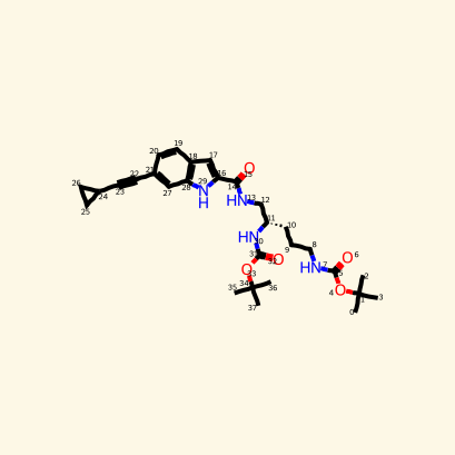 CC(C)(C)OC(=O)NCCC[C@@H](CNC(=O)c1cc2ccc(C#CC3CC3)cc2[nH]1)NC(=O)OC(C)(C)C